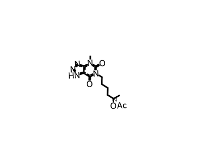 CC(=O)O[C@H](C)CCCCn1c(=O)c2[nH]nnc2n(C)c1=O